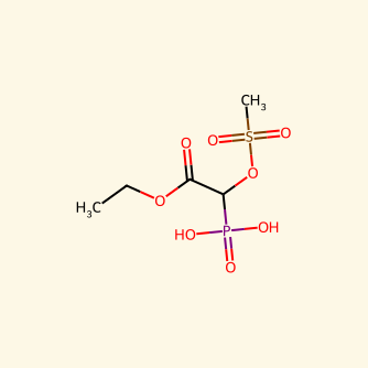 CCOC(=O)C(OS(C)(=O)=O)P(=O)(O)O